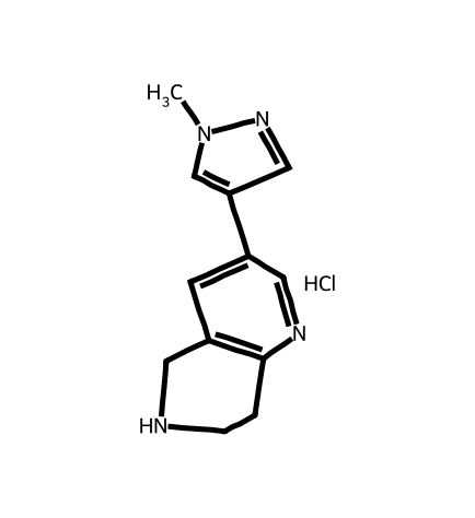 Cl.Cn1cc(-c2cnc3c(c2)CNCC3)cn1